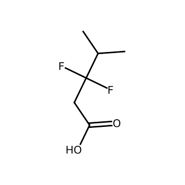 CC(C)C(F)(F)CC(=O)O